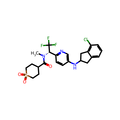 CN(C(=O)C1CCS(=O)(=O)CC1)[C@@H](c1ccc(NC2Cc3cccc(Cl)c3C2)cn1)C(F)(F)F